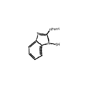 CCCCCc1nc2ccccc2n1S